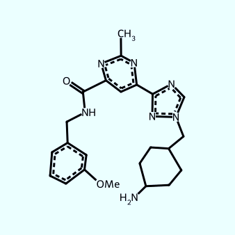 COc1cccc(CNC(=O)c2cc(-c3ncn(CC4CCC(N)CC4)n3)nc(C)n2)c1